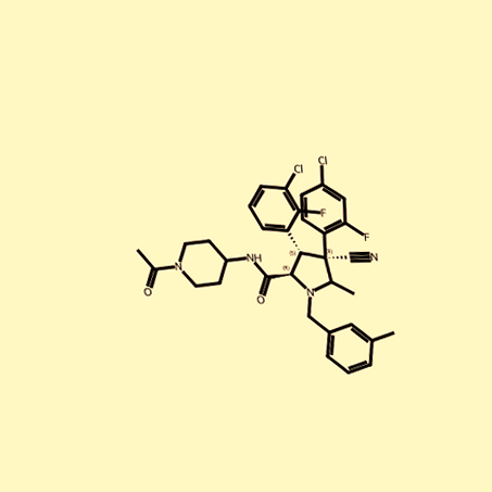 CC(=O)N1CCC(NC(=O)[C@H]2[C@H](c3cccc(Cl)c3F)[C@@](C#N)(c3ccc(Cl)cc3F)C(C)N2Cc2cccc(C)c2)CC1